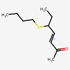 CCCCSC(/C=C/C(C)=O)CC